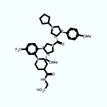 COC[C@H]1CN(C(=O)[C@@H]2CN(C3CCCC3)C[C@H]2c2ccc(OC)cc2)C[C@@H]1c1ccc(C(F)(F)F)cc1N1CCC(C(=O)NCC(=O)O)CC1